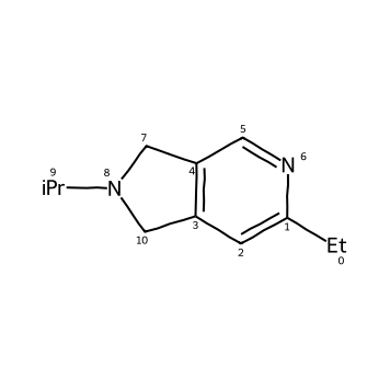 CCc1cc2c(cn1)CN(C(C)C)C2